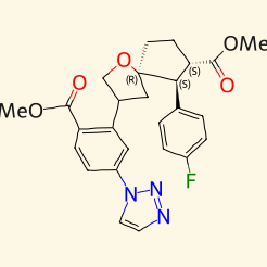 COC(=O)c1ccc(-n2ccnn2)cc1C1CO[C@]2(CC[C@H](C(=O)OC)[C@H]2c2ccc(F)cc2)C1